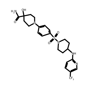 NC(=O)C1(O)CCN(c2ccc(S(=O)(=O)N3CCC(Nc4ccc(C(F)(F)F)cn4)CC3)cc2)CC1